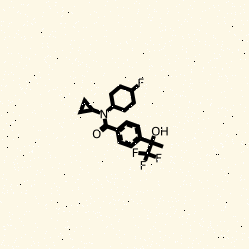 CC(O)(c1ccc(C(=O)N(C2CCC(F)CC2)C2CC2)cc1)C(F)(F)F